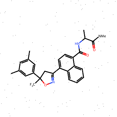 CNC(=O)C(C)NC(=O)c1ccc(C2=NOC(c3cc(C)cc(C)c3)(C(F)(F)F)C2)c2ccccc12